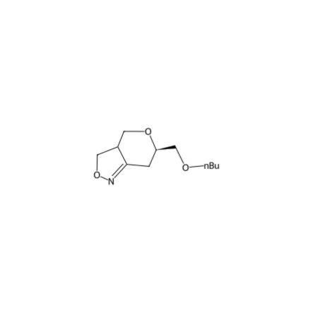 CCCCOC[C@H]1CC2=NOCC2CO1